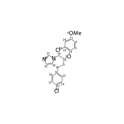 COc1ccc(OC(CCc2ccc(Cl)cc2)Cn2ccnc2)c(Cl)c1